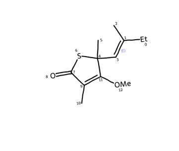 CC/C(C)=C/C1(C)SC(=O)C(C)=C1OC